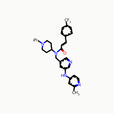 Cc1cc(Nc2cncc(CN(C(=O)/C=C/c3ccc(C(F)(F)F)cc3)C3CCN(C(C)C)CC3)c2)ccn1